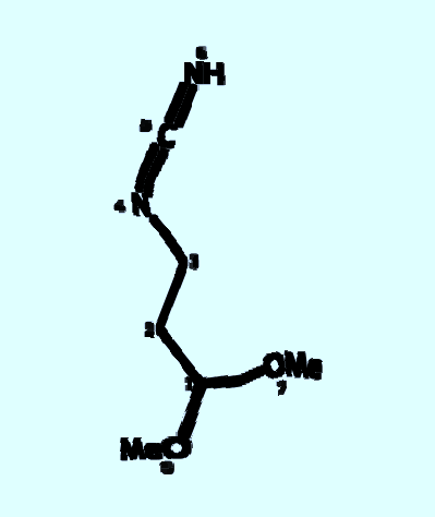 COC(CCN=C=N)OC